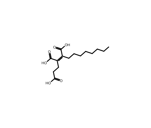 CCCCCCCC/C(C(=O)O)=C(\CCC(=O)O)C(=O)O